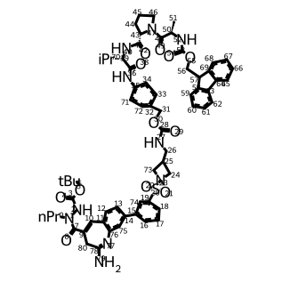 CCCN(NC(=O)OC(C)(C)C)C(=O)C1=Cc2ccc(-c3cccc(S(=O)(=O)N4CC(CNC(=O)OCc5ccc(NC(=O)[C@@H](NC(=O)[C@@H]6CCCN6C(=O)[C@@H](C)NC(=O)OCC6c7ccccc7-c7ccccc76)C(C)C)cc5)C4)c3)cc2N=C(N)C1